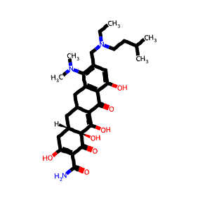 CCN(CCC(C)C)Cc1cc(O)c2c(c1N(C)C)CC1C[C@H]3CC(O)=C(C(N)=O)C(=O)[C@@]3(O)C(O)=C1C2=O